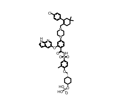 Cc1cc(S(=O)(=O)NC(=O)c2ccc(N3CCN(CC4=C(c5ccc(Cl)cc5)CC(C)(C)CC4)CC3)cc2Oc2cnc3[nH]ccc3c2)ccc1OC[C@H]1CC[C@H](OP(=O)(O)O)CC1